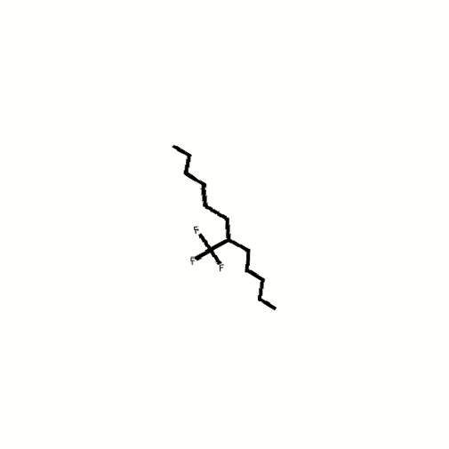 CCCCCCC(CCCCC)C(F)(F)F